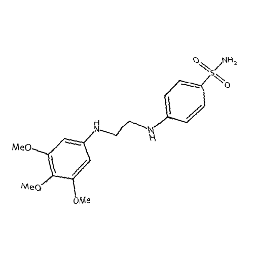 COc1cc(NCCNc2ccc(S(N)(=O)=O)cc2)cc(OC)c1OC